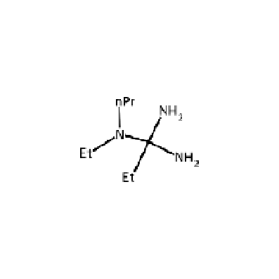 CCCN(CC)C(N)(N)CC